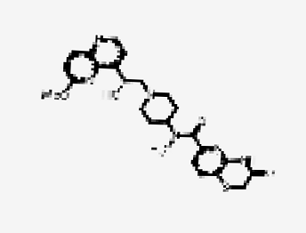 COc1ccc2nccc([C@@H](O)CN3CCC(N(C)C(=O)c4ccc5c(n4)NC(=O)CS5)CC3)c2n1